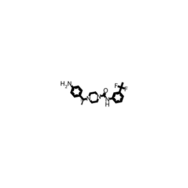 C[C@@H](c1ccc(N)cc1)N1CCN(C(=O)Nc2cccc(C(C)(F)F)c2)CC1